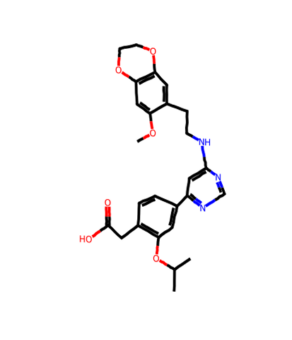 COc1cc2c(cc1CCNc1cc(-c3ccc(CC(=O)O)c(OC(C)C)c3)ncn1)OCCO2